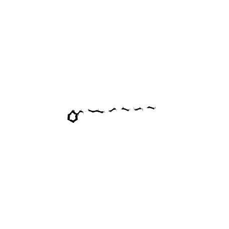 OCCOCCOCCOCCOCCCCOCc1ccccc1